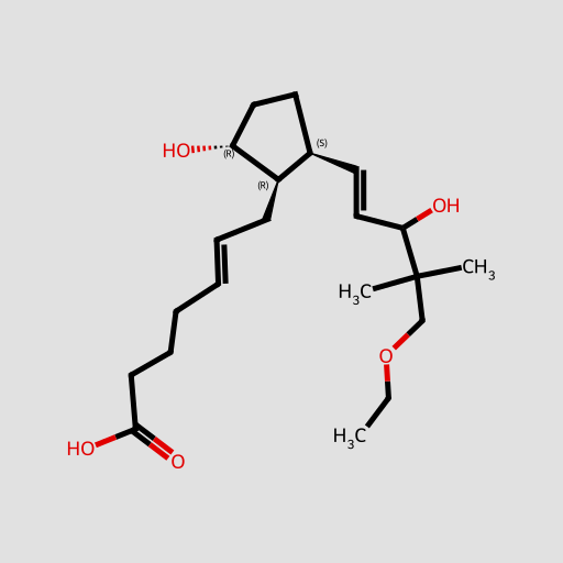 CCOCC(C)(C)C(O)C=C[C@@H]1CC[C@@H](O)[C@@H]1CC=CCCCC(=O)O